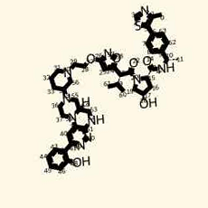 Cc1ncsc1-c1ccc([C@H](C)NC(=O)[C@@H]2C[C@@H](O)CN2C(=O)[C@@H](c2cc(OCCN3CCCC(N4CCN5c6cc(-c7ccccc7O)nnc6NC[C@H]5C4)C3)no2)C(C)C)cc1